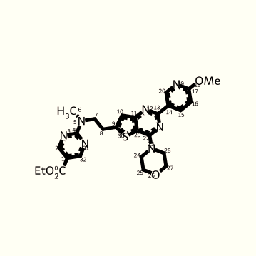 CCOC(=O)c1cnc(N(C)CCc2cc3nc(-c4ccc(OC)nc4)nc(N4CCOCC4)c3s2)nc1